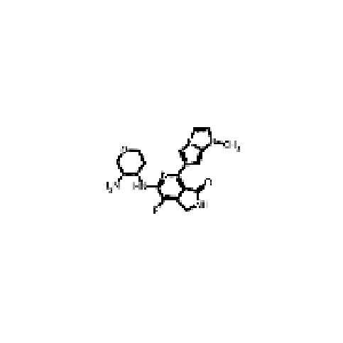 Cn1ccn2cc(-c3nc(N[C@@H]4CCOC[C@@H]4N)c(F)c4c3C(=O)NC4)cc12